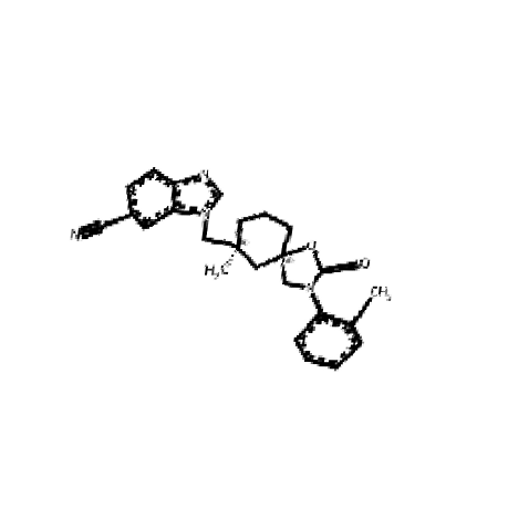 Cc1ccccc1N1C[C@@]2(CCC[C@](C)(Cn3cnc4ccc(C#N)cc43)C2)OC1=O